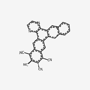 N#Cc1c(C#N)c(C#N)c2cc3c(cc2c1C#N)c1cc2ccccc2cc1c1nccnc31